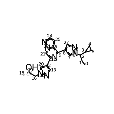 CCC(C1CC1)n1cc(-c2nc(-c3cnn(C[C@H](C)O)c3)cn3nccc23)cn1